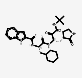 CC(C)(C)NC(=O)C(=O)[C@H](C[C@@H]1CCNC1=O)NC(=O)[C@H](CC1CCCCC1)NC(=O)c1cc2ccccc2[nH]1